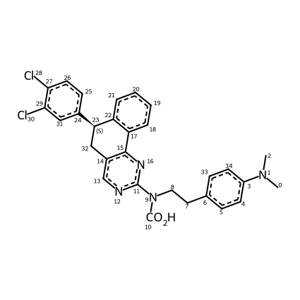 CN(C)c1ccc(CCN(C(=O)O)c2ncc3c(n2)-c2ccccc2[C@H](c2ccc(Cl)c(Cl)c2)C3)cc1